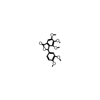 COc1ccc(C2OC(=O)c3cc(OC)c(OC)c(OC)c32)cc1OC